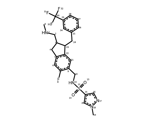 CNCC1Cc2cc(F)c(CNS(=O)(=O)c3cnn(C)c3)cc2C1Cc1cccc(C(F)(F)F)c1